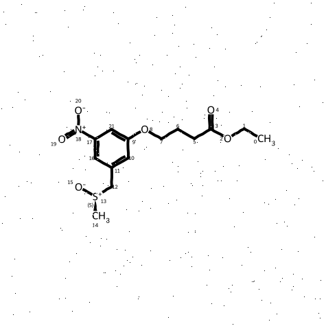 CCOC(=O)CCCOc1cc(C[S@@+](C)[O-])cc([N+](=O)[O-])c1